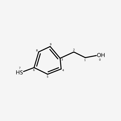 OCCc1ccc(S)cc1